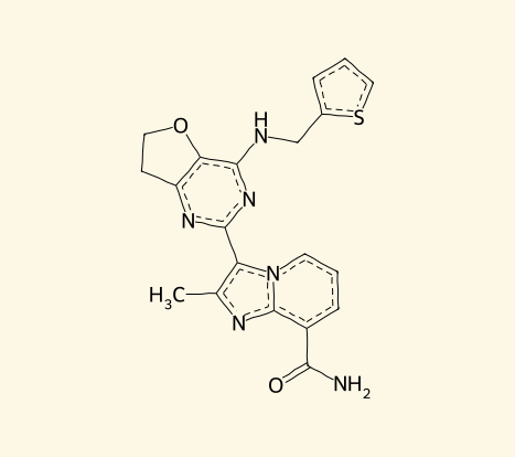 Cc1nc2c(C(N)=O)cccn2c1-c1nc2c(c(NCc3cccs3)n1)OCC2